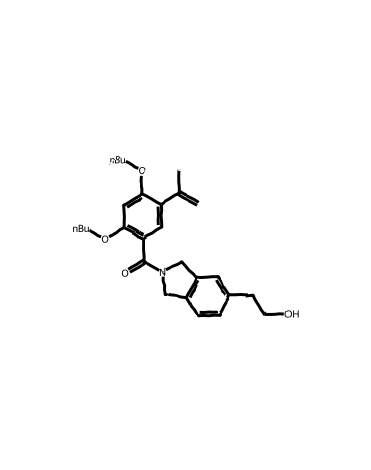 C=C(C)c1cc(C(=O)N2Cc3ccc(CCO)cc3C2)c(OCCCC)cc1OCCCC